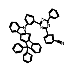 N#Cc1cccc(-c2nc(-c3ccccc3)nc(-c3cccc(-n4c5ccccc5c5cc6c(cc54)-c4ccccc4C6(c4ccccc4)c4ccccc4)c3)n2)c1